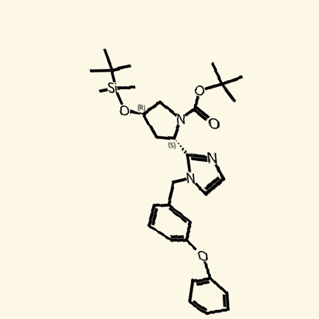 CC(C)(C)OC(=O)N1C[C@H](O[Si](C)(C)C(C)(C)C)C[C@H]1c1nccn1Cc1cccc(Oc2ccccc2)c1